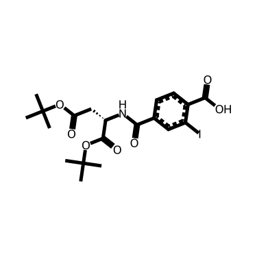 CC(C)(C)OC(=O)C[C@H](NC(=O)c1ccc(C(=O)O)c(I)c1)C(=O)OC(C)(C)C